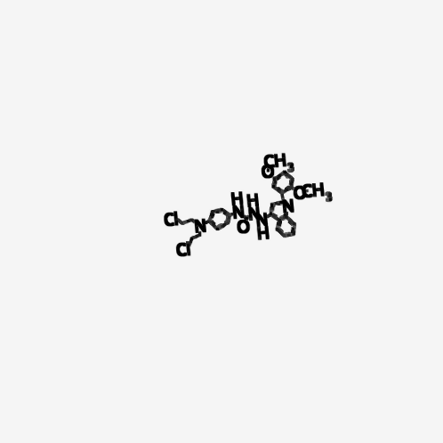 COc1ccc(OC)c(-c2cc(NNC(=O)Nc3ccc(N(CCCl)CCCl)cc3)c3ccccc3n2)c1